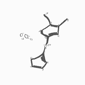 CC1=C(C)C[C]([Zr+2][C]2=CC=CC2)=C1.[Cl-].[Cl-]